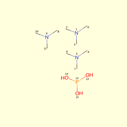 CN(C)C.CN(C)C.CN(C)C.OP(O)O